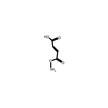 O=C(O)C=CC(=O)O[SiH3]